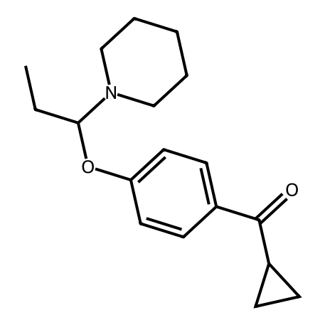 CCC(Oc1ccc(C(=O)C2CC2)cc1)N1CCCCC1